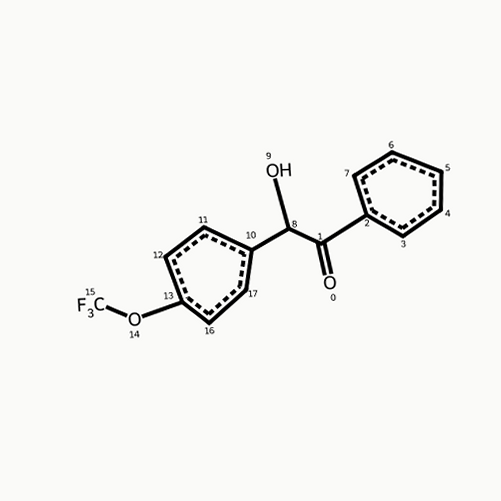 O=C(c1ccccc1)C(O)c1ccc(OC(F)(F)F)cc1